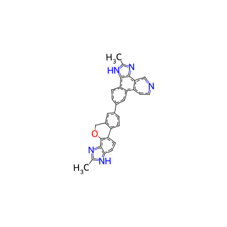 Cc1nc2c3c(ccc2[nH]1)-c1ccc(-c2ccc4c(c2)c2ccncc2c2nc(C)[nH]c42)cc1CO3